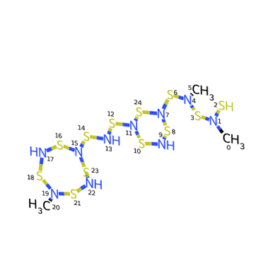 CN(S)SN(C)SN1SNSN(SNSN2SNSN(C)SNS2)S1